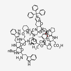 CCCC[C@H](NC(=O)C(N)Cc1c[nH]c2ccccc12)C(=O)N[C@@H](Cc1c[nH]c2ccccc12)C(=O)N[C@@H](COC1CCCCO1)C(=O)N(CCC)CC(=O)N(C)[C@@H](Cc1cccc(Cl)c1)C(=O)N(C)[C@@H](Cc1cn(C(c2ccccc2)(c2ccccc2)c2ccccc2)cn1)C(=O)N(C)CC(=O)N1CCC[C@H]1C(=O)N[C@@H](CC(=O)O)C(=O)N1CCC[C@H]1C(=O)OC(C)(C)c1ccccc1